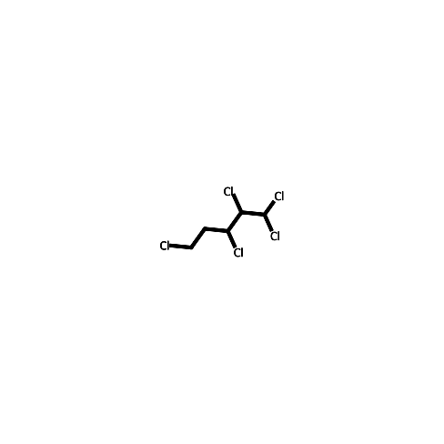 ClCCC(Cl)C(Cl)C(Cl)Cl